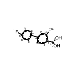 OB(O)c1ccc(-c2ccc(F)cc2)cc1F